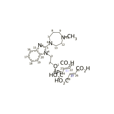 CCCOCCn1c(N2CCCN(C)CC2)nc2ccccc21.O=C(O)/C=C/C(=O)O.O=C(O)/C=C/C(=O)O